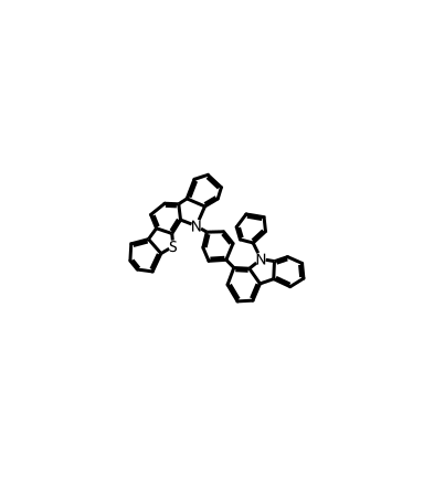 c1ccc(-n2c3ccccc3c3cccc(-c4ccc(-n5c6ccccc6c6ccc7c8ccccc8sc7c65)cc4)c32)cc1